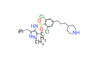 Cc1c(NS(=O)(=O)c2c(Cl)cc(CCCC3CCNCC3)cc2Cl)c(CC(C)C)nn1C